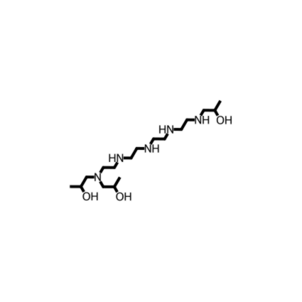 CC(O)CNCCNCCNCCNCCN(CC(C)O)CC(C)O